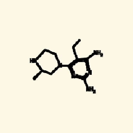 CCc1c(N)nc(N)nc1N1CCN[C@H](C)C1